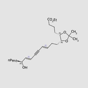 CCCCC[C@H](O)/C=C/C#C/C=C/CC[C@H]1OC(C)(C)O[C@H]1CCCC(=O)OCC